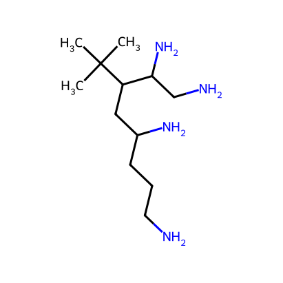 CC(C)(C)C(CC(N)CCCN)C(N)CN